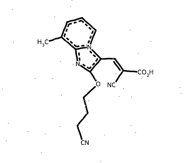 Cc1cccn2c(/C=C(\C#N)C(=O)O)c(OCCCC#N)nc12